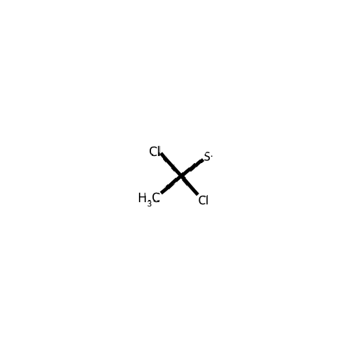 CC([S])(Cl)Cl